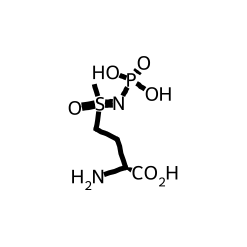 CS(=O)(CC[C@H](N)C(=O)O)=NP(=O)(O)O